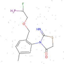 Cc1ccc(COCC(F)P)c(N2C(=N)SCC2=O)c1